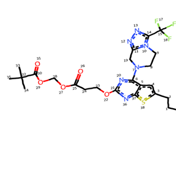 CCCc1cc2c(N3CCn4c(nnc4C(F)(F)F)C3)nc(OCCC(=O)OCOC(=O)C(C)(C)C)nc2s1